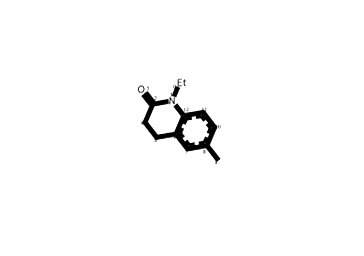 CCN1C(=O)CCc2cc(C)ccc21